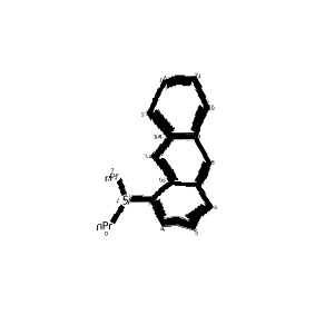 CCC[Si](CCC)c1cccc2cc3ccccc3cc12